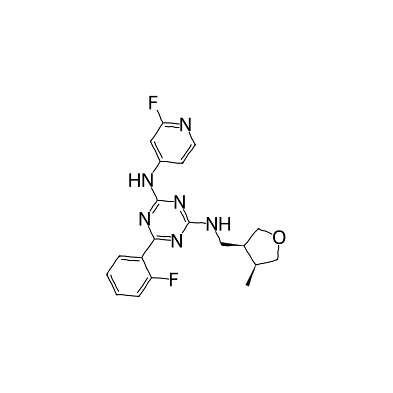 C[C@@H]1COC[C@@H]1CNc1nc(Nc2ccnc(F)c2)nc(-c2ccccc2F)n1